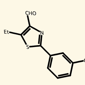 CCc1sc(-c2cccc(Cl)c2)nc1C=O